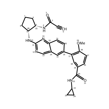 C#CC(=O)N[C@H]1CCC[C@H]1Nc1ncc2cc(-c3cc(C(=O)NC4CC4)ccc3OC)ccc2n1